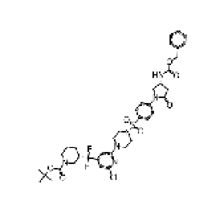 CC(C)(C)OC(=O)N1CCC[C@H](C(F)(F)c2cc(Cl)nc(N3CCN(S(=O)(=O)c4ccc(N5C[C@H](NC(=O)OCc6ccccc6)CC5=O)cc4)CC3)c2)C1